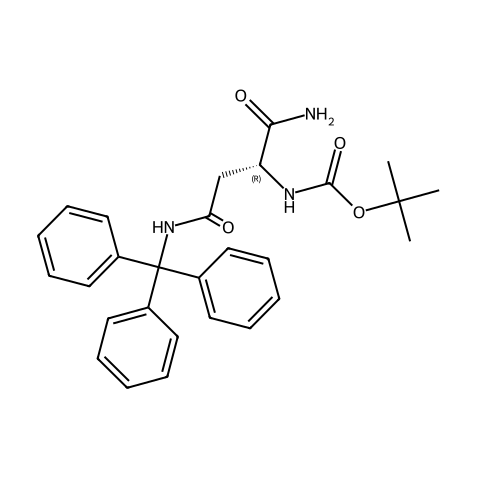 CC(C)(C)OC(=O)N[C@H](CC(=O)NC(c1ccccc1)(c1ccccc1)c1ccccc1)C(N)=O